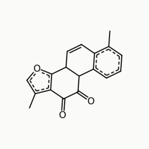 Cc1cccc2c1C=CC1c3occ(C)c3C(=O)C(=O)C21